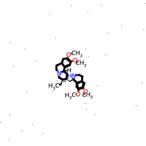 CC[C@H]1CN2CCC3CC(OC)=C(OC)C=C3[C@@H]2C[C@@H]1C[C@H]1NCCc2cc(OC)c(OC)cc21